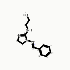 OCCNC1=NCCN1/N=C/c1ccccc1